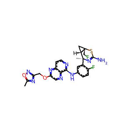 Cc1nc(COc2cnc3c(Nc4ccc(F)c([C@]5(C)N=C(N)S[C@@]6(CF)C[C@H]65)c4)nccc3n2)no1